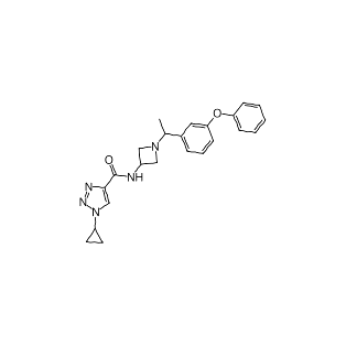 CC(c1cccc(Oc2ccccc2)c1)N1CC(NC(=O)c2cn(C3CC3)nn2)C1